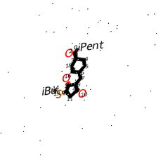 CCCC(C)C(=O)C1CCC(CC2C(=O)CC(SC(C)CC)C2=O)CC1